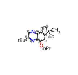 CCCOc1cc(C(C)(CC)CCC)cc2ncc(C(C)(C)C)nc12